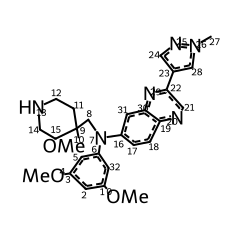 COc1cc(OC)cc(N(CC2(OC)CCNCC2)c2ccc3ncc(-c4cnn(C)c4)nc3c2)c1